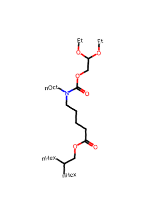 CCCCCCCCN(CCCCC(=O)OCC(CCCCCC)CCCCCC)C(=O)OCC(OCC)OCC